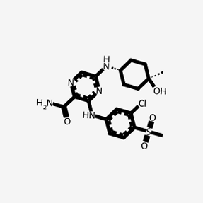 CS(=O)(=O)c1ccc(Nc2nc(N[C@H]3CC[C@](C)(O)CC3)cnc2C(N)=O)cc1Cl